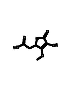 COC1=C(O)C(=O)OC1CC(=O)O